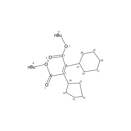 CCCCOC(=O)C(=C(C(=O)OCCCC)C1CCCC1)C1CCCCC1